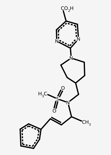 CC(/C=C/c1ccccc1)N(CC1CCN(c2ncc(C(=O)O)cn2)CC1)S(C)(=O)=O